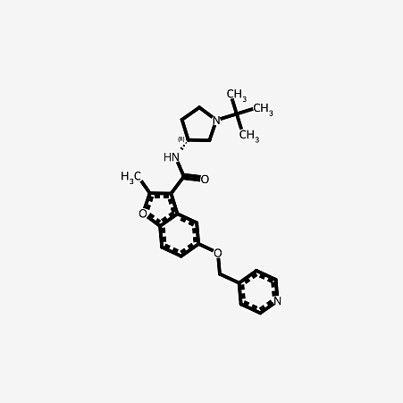 Cc1oc2ccc(OCc3ccncc3)cc2c1C(=O)N[C@@H]1CCN(C(C)(C)C)C1